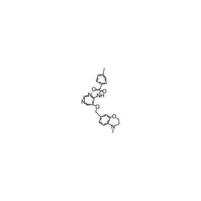 Cc1ccc(S(=O)(=O)Nc2ncncc2OCc2ccc3c(c2)OCCN3C)cc1